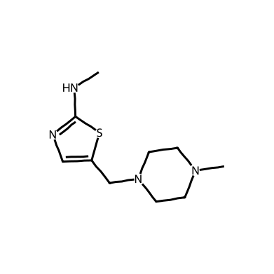 CNc1ncc(CN2CCN(C)CC2)s1